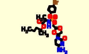 CCC[C@H](C)OC(=O)[C@H](C)NP(=O)(OC[C@H]1OC[C@@H](n2ccc(N)nc2=O)O1)Oc1ccc(Br)cc1